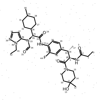 CCC(=O)N[C@@H](C(=O)N1CCC(C)(O)CC1)[C@@H](C)c1ccc(NC(=O)[C@H](C2CCC(C)CC2)N(C=O)c2ccnn2CC)c(F)c1